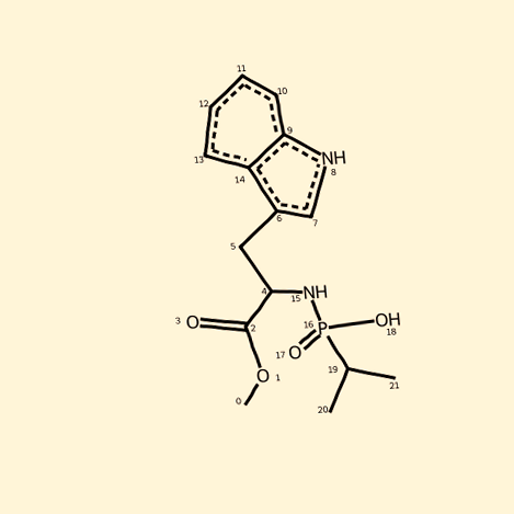 COC(=O)C(Cc1c[nH]c2ccccc12)NP(=O)(O)C(C)C